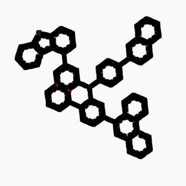 c1ccc(-c2ccc(-c3cc4ccccc4c4ccccc34)cc2N(c2ccc(-c3ccc4ccccc4c3)cc2)c2cccc(-c3cccc4oc5ccccc5c34)c2)cc1